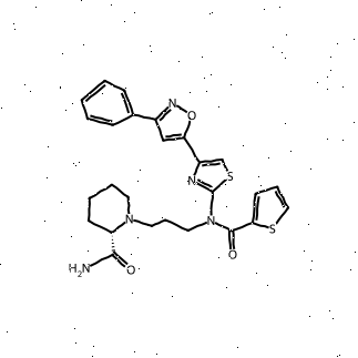 NC(=O)[C@@H]1CCCCN1CCCN(C(=O)c1cccs1)c1nc(-c2cc(-c3ccccc3)no2)cs1